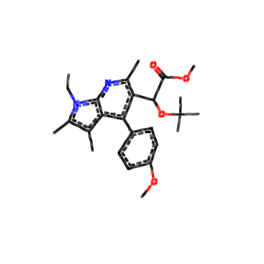 CCn1c(C)c(C)c2c(-c3ccc(OC)cc3)c(C(OC(C)(C)C)C(=O)OC)c(C)nc21